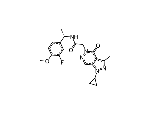 COc1ccc([C@H](C)NC(=O)Cn2ncc3c(c(C)nn3C3CC3)c2=O)cc1F